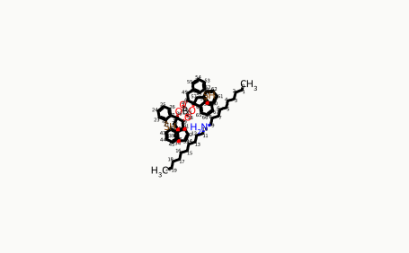 CCCCCCCCCC[NH2+]CCCCCCCCCC.Sc1ccccc1C1(Cc2ccccc2)O[B-]2(OC1Cc1ccccc1)OC(Cc1ccccc1)C(Cc1ccccc1)(c1ccccc1S)O2